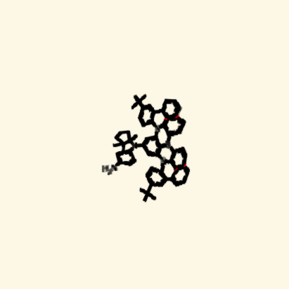 CC(C)(C)c1ccc(N2c3ccccc3B3c4ccccc4N(c4ccc(C(C)(C)C)cc4-c4ccccc4)c4cc(N5c6ccc(N)cc6C6(C)CCCC56C)cc2c43)c(-c2ccccc2)c1